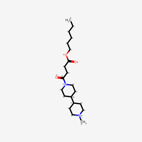 CCCCCCOC(=O)CCC(=O)N1CCC(C2CCN(C)CC2)CC1